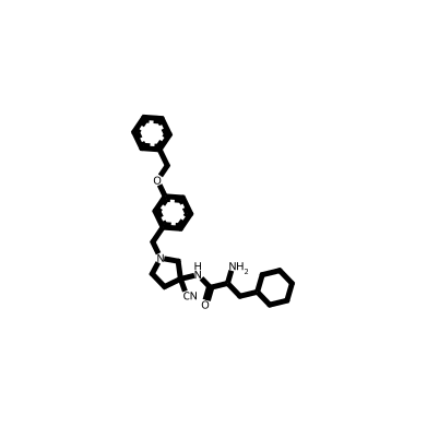 N#CC1(NC(=O)C(N)CC2CCCCC2)CCN(Cc2cccc(OCc3ccccc3)c2)C1